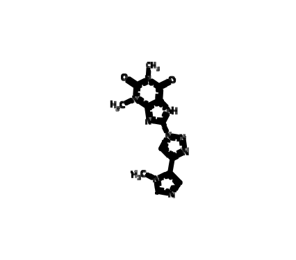 Cn1cncc1-c1cn(-c2nc3c([nH]2)c(=O)n(C)c(=O)n3C)nn1